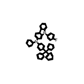 Fc1ccc(-n2c3ccccc3c3ccc(N(c4ccccc4)c4ccc(C(c5ccccc5)(c5ccccc5)c5ccccc5)cc4)cc32)cc1